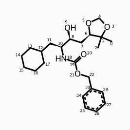 CC1(C)OCO[C@@H]1C[C@H](O)[C@H](CC1CCCCC1)NC(=O)OCc1ccccc1